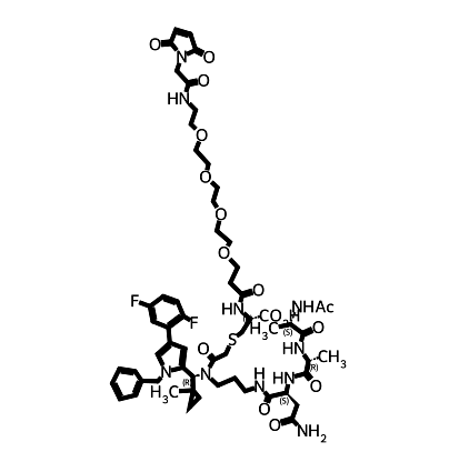 CC(=O)N[C@@H](C)C(=O)N[C@H](C)C(=O)N[C@@H](CC(N)=O)C(=O)NCCCN(C(=O)CSC[C@H](NC(=O)CCOCCOCCOCCOCCNC(=O)CN1C(=O)C=CC1=O)C(=O)O)[C@@H](c1cc(-c2cc(F)ccc2F)cn1Cc1ccccc1)C1(C)CC1